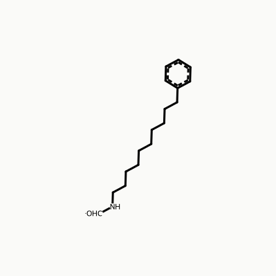 O=[C]NCCCCCCCCCCc1ccccc1